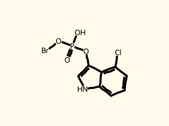 O=P(O)(OBr)Oc1c[nH]c2cccc(Cl)c12